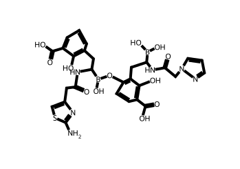 Nc1nc(CC(=O)NC(Cc2cccc(C(=O)O)c2O)B(O)Oc2ccc(C(=O)O)c(O)c2CC(NC(=O)Cn2cccn2)B(O)O)cs1